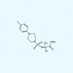 CCC(C)(NS(=O)(=O)N1CCN(c2ccc(I)cc2)CC1)C(=O)OC